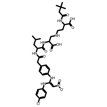 CC(C)CC(NC(=O)Cc1ccc(NC(=C[N+](=O)[O-])Nc2ccc(Cl)cc2)cc1)C(=O)NC(CNCCC(NC(=O)CC(C)(C)C)C(=O)O)C(=O)O